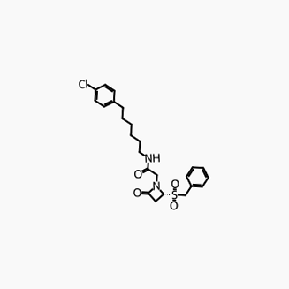 O=C(CN1C(=O)C[C@H]1S(=O)(=O)Cc1ccccc1)NCCCCCCc1ccc(Cl)cc1